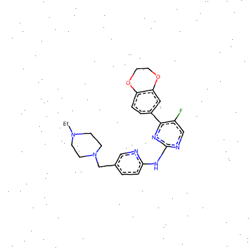 CCN1CCN(Cc2ccc(Nc3ncc(F)c(-c4ccc5c(c4)OCCO5)n3)nc2)CC1